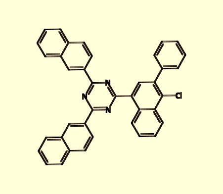 Clc1c(-c2ccccc2)cc(-c2nc(-c3ccc4ccccc4c3)nc(-c3ccc4ccccc4c3)n2)c2ccccc12